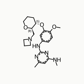 CNc1cc(C)nc(Nc2ccc(OC)c(O[C@H]3CCCO[C@@H]3CN3CCC3)c2)n1